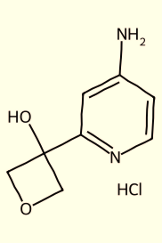 Cl.Nc1ccnc(C2(O)COC2)c1